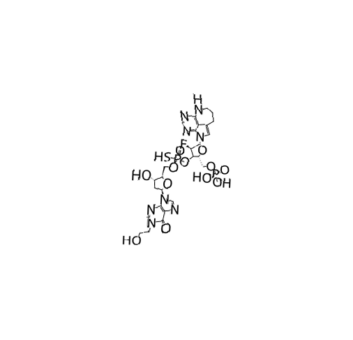 O=c1c2ncn([C@H]3C[C@H](O)[C@@H](COP(=O)(S)OC4[C@@H](F)[C@H](n5cc6c7c(ncnc75)NCCC6)O[C@@H]4COP(=O)(O)O)O3)c2ncn1CCO